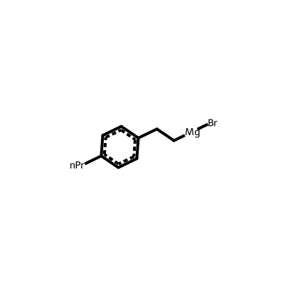 CCCc1ccc(C[CH2][Mg][Br])cc1